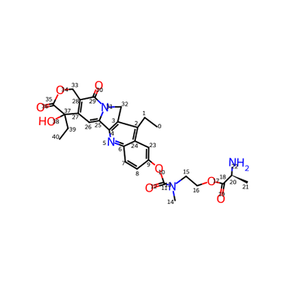 CCc1c2c(nc3ccc(OC(=O)N(C)CCOC(=O)[C@H](C)N)cc13)-c1cc3c(c(=O)n1C2)COC(=O)C3(O)CC